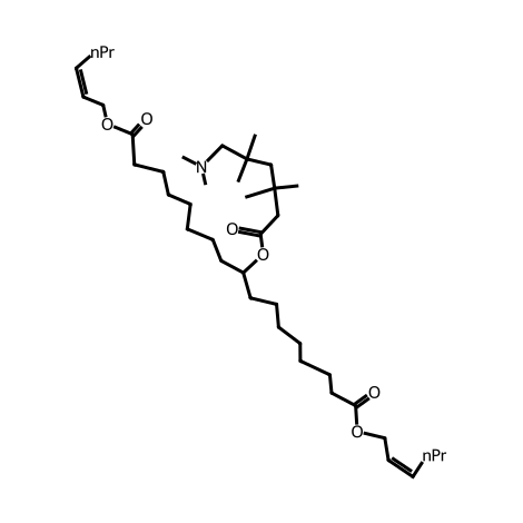 CCC/C=C\COC(=O)CCCCCCCC(CCCCCCCC(=O)OC/C=C\CCC)OC(=O)CC(C)(C)CC(C)(C)CN(C)C